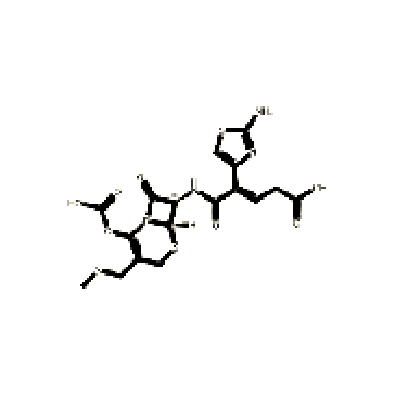 CSCC1=C(OC(=O)O)N2C(=O)[C@@H](NC(=O)C(=CCC(=O)O)c3csc(N)n3)[C@@H]2SC1